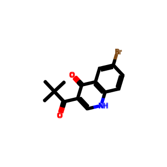 CC(C)(C)C(=O)c1c[nH]c2ccc(Br)cc2c1=O